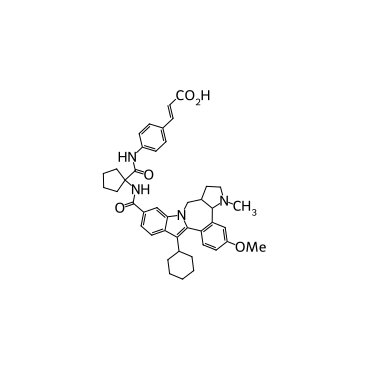 COc1ccc2c(c1)C1C(CCN1C)Cn1c-2c(C2CCCCC2)c2ccc(C(=O)NC3(C(=O)Nc4ccc(/C=C/C(=O)O)cc4)CCCC3)cc21